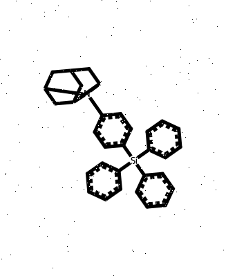 c1ccc([Si](c2ccccc2)(c2ccccc2)c2ccc(N3C4CC5CC(C4)CC3C5)cc2)cc1